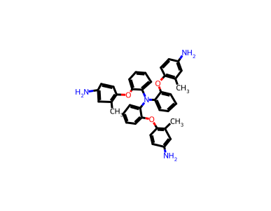 Cc1cc(N)ccc1Oc1ccccc1N(c1ccccc1Oc1ccc(N)cc1C)c1ccccc1Oc1ccc(N)cc1C